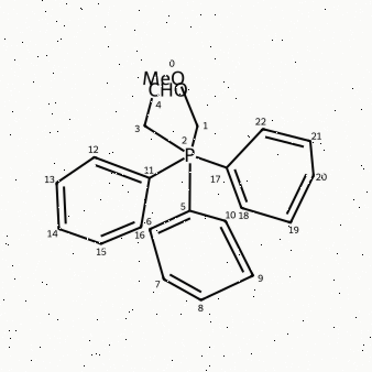 COCP(CC=O)(c1ccccc1)(c1ccccc1)c1ccccc1